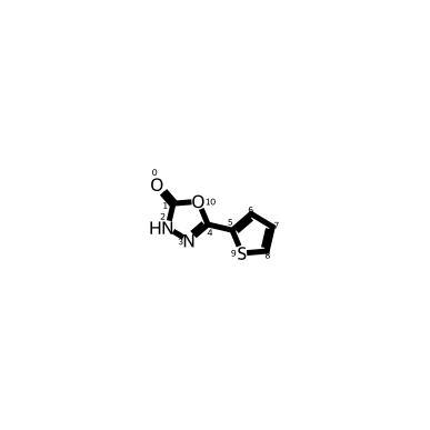 O=c1[nH]nc(-c2cccs2)o1